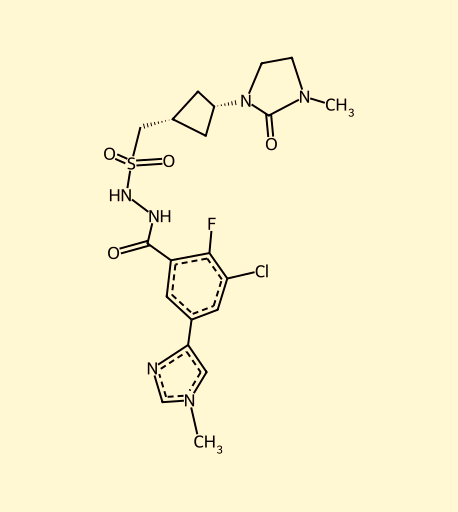 CN1CCN([C@H]2C[C@@H](CS(=O)(=O)NNC(=O)c3cc(-c4cn(C)cn4)cc(Cl)c3F)C2)C1=O